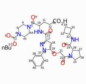 CCCCOC(=O)N1CCN(C(=O)C(CCC(=O)O)NC(=O)c2cc(OCC(=O)N3CCCC3C(=O)NC3CCC3)n(-c3ccccc3)n2)CC1